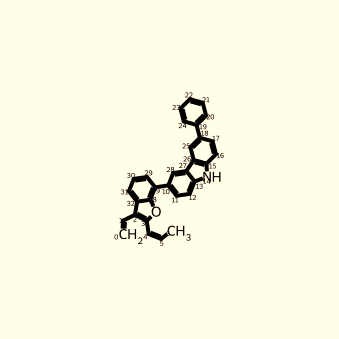 C=Cc1c(/C=C\C)oc2c(-c3ccc4[nH]c5ccc(-c6ccccc6)cc5c4c3)cccc12